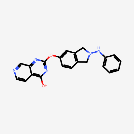 Oc1nc(Oc2ccc3c(c2)CN(Nc2ccccc2)C3)nc2cnccc12